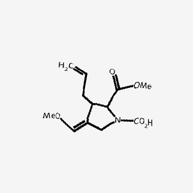 C=CCC1/C(=C\OC)CN(C(=O)O)C1C(=O)OC